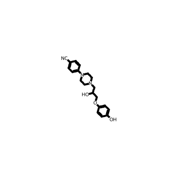 N#Cc1ccc(N2CCN(CC(O)COc3ccc(O)cc3)CC2)cc1